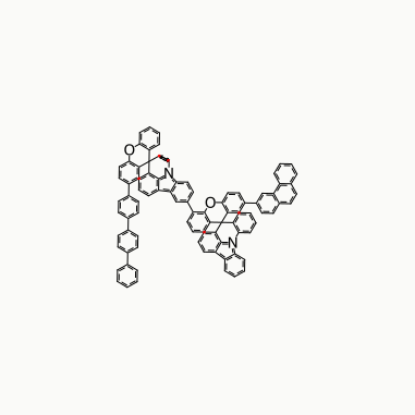 c1ccc(-c2ccc(-c3ccc(-c4ccc5c(c4)C4(c6ccccc6O5)c5ccccc5-n5c6ccc(-c7cccc8c7Oc7ccc(-c9ccc%10ccc%11ccccc%11c%10c9)cc7C87c8ccccc8-n8c9ccccc9c9cccc7c98)cc6c6cccc4c65)cc3)cc2)cc1